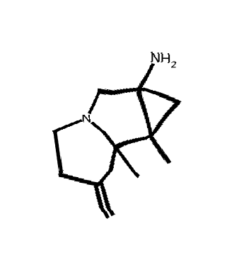 C=C1CCN2CC3(N)CC3(C)C12C